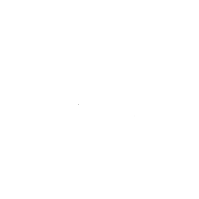 C=C(N)/C=C\C=C/C